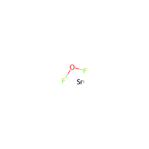 FOF.[Sr]